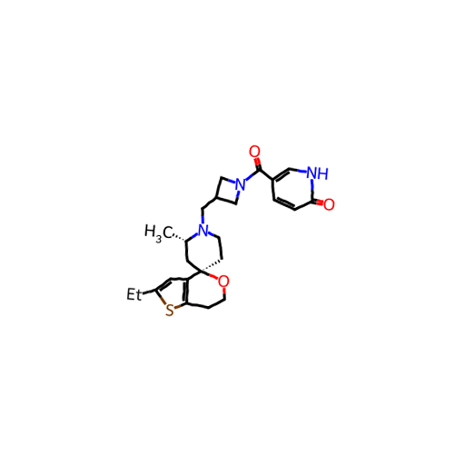 CCc1cc2c(s1)CCO[C@@]21CCN(CC2CN(C(=O)c3ccc(=O)[nH]c3)C2)[C@@H](C)C1